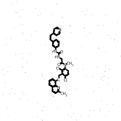 Cc1ccc2cccc(OCc3c(Cl)ccc(N(C)C(=O)CNC(=O)Nc4cccc(/C=C\c5ccncc5)c4)c3Cl)c2n1